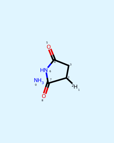 N.[2H]C1CC(=O)NC1=O